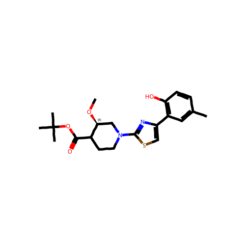 CO[C@H]1CN(c2nc(-c3cc(C)ccc3O)cs2)CCC1C(=O)OC(C)(C)C